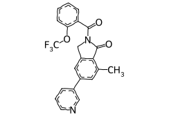 Cc1cc(-c2cccnc2)cc2c1C(=O)N(C(=O)c1ccccc1OC(F)(F)F)C2